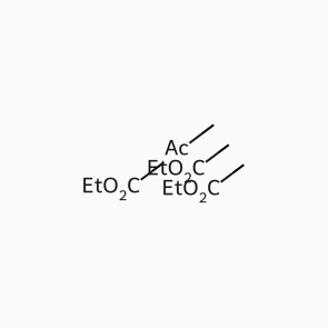 CC(C)=O.CCOC(C)=O.CCOC(C)=O.CCOC(C)=O